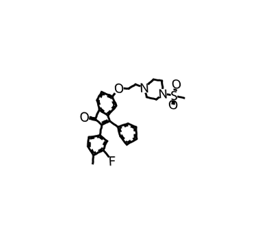 Cc1ccc(C2=C(c3ccccc3)c3cc(OCCN4CCN(S(C)(=O)=O)CC4)ccc3C2=O)cc1F